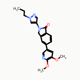 CCCn1cc(N2Cc3cc(-c4cnc(OC)c(OC)c4)ccc3C2=O)cn1